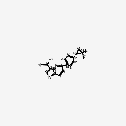 FC(F)c1nnc2ccc(-c3ccc([C@@H]4CC4(F)F)cc3)nn12